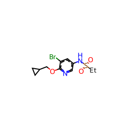 CCS(=O)(=O)Nc1cnc(OCC2CC2)c(Br)c1